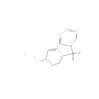 CC(O)(c1ccc(OC(F)(F)F)cc1)c1cncnc1